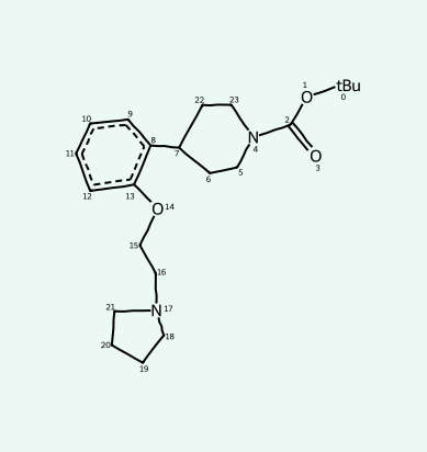 CC(C)(C)OC(=O)N1CCC(c2ccccc2OCCN2CCCC2)CC1